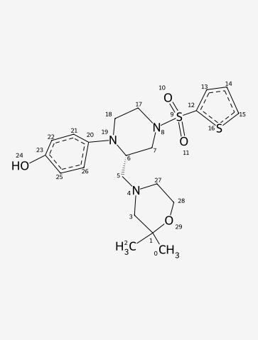 CC1(C)CN(C[C@H]2CN(S(=O)(=O)c3cccs3)CCN2c2ccc(O)cc2)CCO1